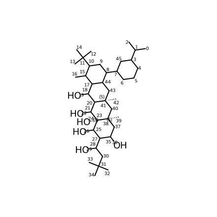 CC(C)C1CCCC(C2CC(C(C)(C)C)C(C)C3C(O)C4C(O)[C@]5(O)C(O)C(C(O)CC(C)(C)C)C(O)C[C@]5(C)C[C@]4(C)CC23)C1